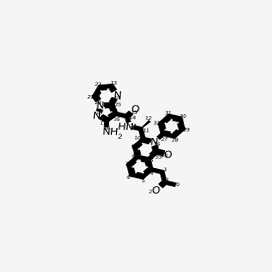 CC(=O)Cc1cccc2cc([C@H](C)NC(=O)c3c(N)nn4cccnc34)n(-c3ccccc3)c(=O)c12